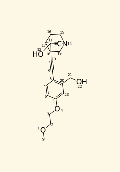 COCCOc1ccc(C#CC2(O)CN3CCC2CC3)c(CO)c1